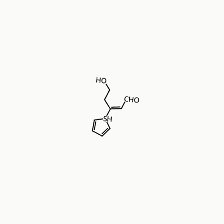 O=CC=C(CCO)[SH]1C=CC=C1